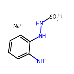 [NH-]c1ccccc1NNS(=O)(=O)O.[Na+]